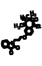 CCN1C(=O)C(C)(C)C(=O)N(C)c2cc(OCCCN3C(=O)C(=O)c4ccccc43)ccc21